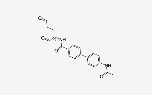 CC(=O)Nc1ccc(-c2ccc(C(=O)N[C@H](C=O)CCC=O)cc2)cc1